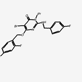 CC(C)n1c(NCc2ccc(F)cc2)nc(OCc2ccc(F)cc2F)c(Br)c1=O